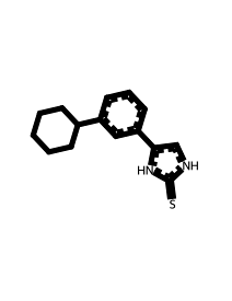 S=c1[nH]cc(-c2cccc(C3CCCCC3)c2)[nH]1